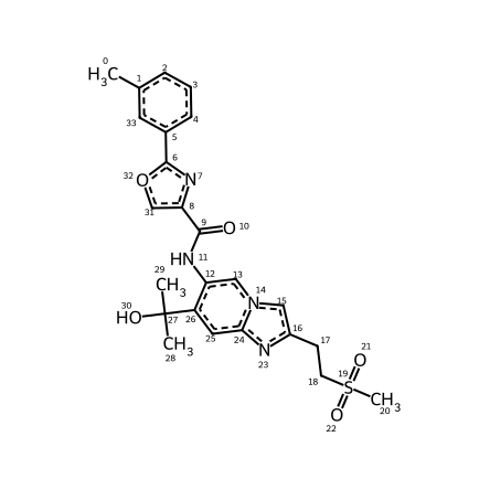 Cc1cccc(-c2nc(C(=O)Nc3cn4cc(CCS(C)(=O)=O)nc4cc3C(C)(C)O)co2)c1